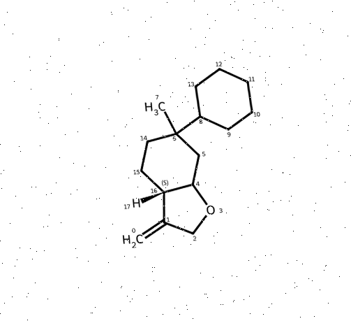 C=C1COC2CC(C)(C3CCCCC3)CC[C@@H]12